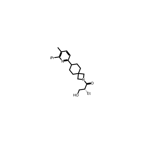 CC[C@H](CO)C(=O)N1CC2(CCC(c3ccc(C)c(C(C)C)n3)CC2)C1